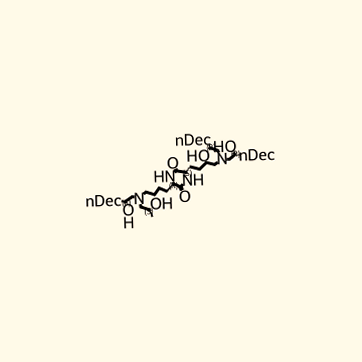 CCCCCCCCCC[C@@H](O)CN(CCCC[C@@H]1NC(=O)[C@@H](CCCCN(C[C@@H](O)CCCCCCCCCC)C[C@H](C)O)NC1=O)C[C@H](O)CCCCCCCCCC